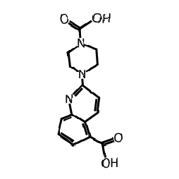 O=C(O)c1cccc2nc(N3CCN(C(=O)O)CC3)ccc12